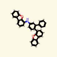 c1ccc(-c2cc(Nc3cccc4c3oc3ccccc34)ccc2-c2cccc3c2oc2ccccc23)cc1